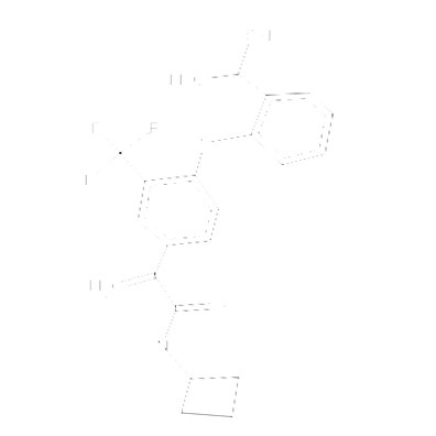 C=C(C(=O)NC1CCC1)c1ccc(Sc2ccccc2C(C)C)c(C(F)(F)F)c1